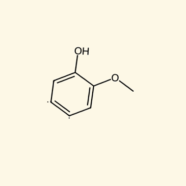 COc1c[c][c]cc1O